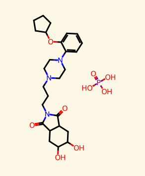 O=C1C2CC(O)C(O)CC2C(=O)N1CCCN1CCN(c2ccccc2OC2CCCC2)CC1.O=P(O)(O)O